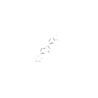 C/C=C(\N=c1\c(C)cc(N2CCN[C@@H](C)C2)cn1C=O)c1ccc(OC)c(CC)c1